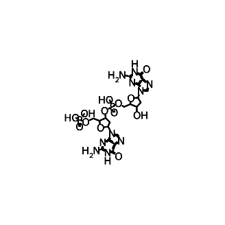 Nc1nc2c(ncn2C2CC(O)C(COP(=O)(O)OC3CC(n4cnc5c(=O)[nH]c(N)nc54)OC3COP(=O)(O)O)O2)c(=O)[nH]1